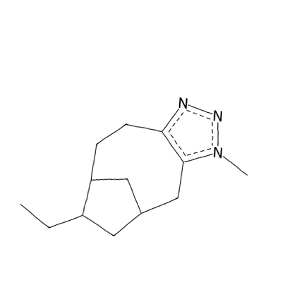 CCC1CC2Cc3c(nnn3C)CCC1C2